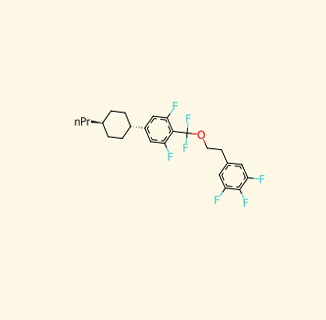 CCC[C@H]1CC[C@H](c2cc(F)c(C(F)(F)OCCc3cc(F)c(F)c(F)c3)c(F)c2)CC1